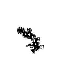 CCOc1cc(C(=O)N2CCC3(CC2)CC(=O)c2cc(-c4nnn[nH]4)ccc2O3)cc2c(Cl)cn(C3CC3)c12